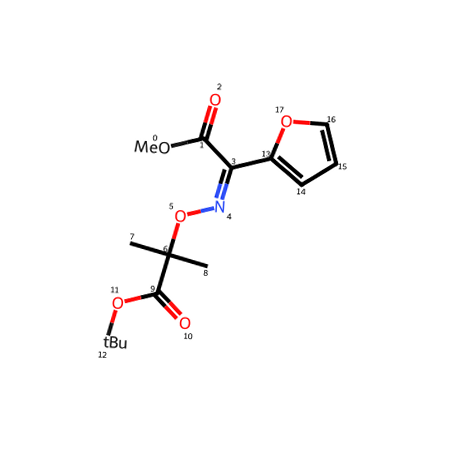 COC(=O)C(=NOC(C)(C)C(=O)OC(C)(C)C)c1ccco1